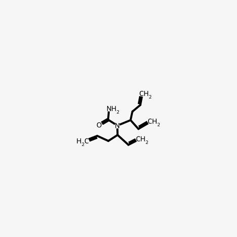 C=CCC(C=C)N(C(N)=O)C(C=C)CC=C